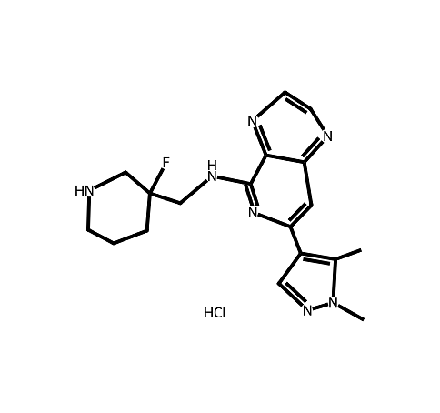 Cc1c(-c2cc3nccnc3c(NCC3(F)CCCNC3)n2)cnn1C.Cl